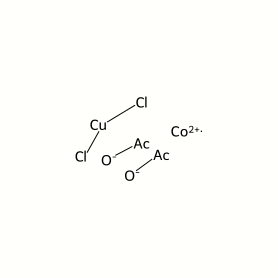 CC(=O)[O-].CC(=O)[O-].[Cl][Cu][Cl].[Co+2]